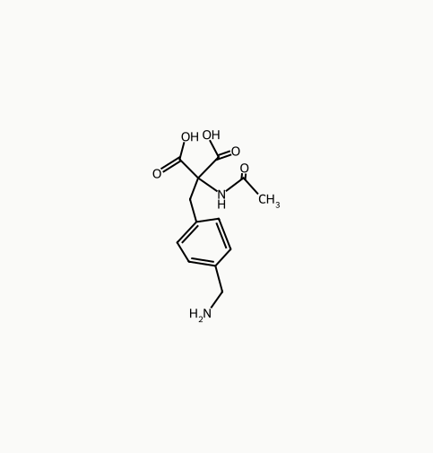 CC(=O)NC(Cc1ccc(CN)cc1)(C(=O)O)C(=O)O